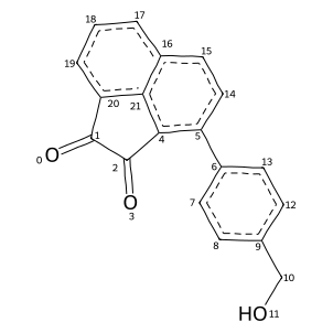 O=C1C(=O)c2c(-c3ccc(CO)cc3)ccc3cccc1c23